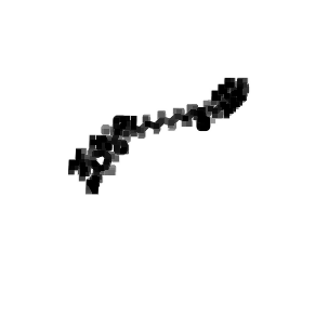 C[C@](O)(CCCCCCCCCC[S+]([O-])CCC(F)(F)C(F)(F)C(F)(F)F)C(=O)Nc1ccc(C#N)c(C(F)(F)F)c1